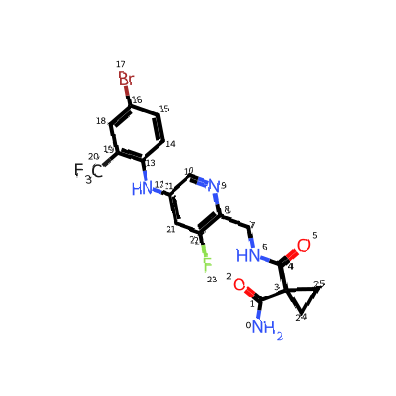 NC(=O)C1(C(=O)NCc2ncc(Nc3ccc(Br)cc3C(F)(F)F)cc2F)CC1